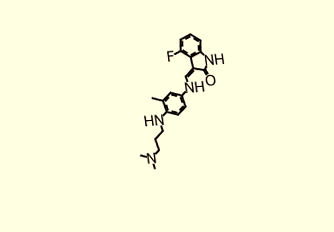 Cc1cc(NC=C2C(=O)Nc3cccc(F)c32)ccc1NCCCN(C)C